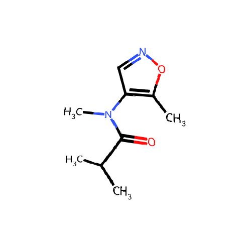 Cc1oncc1N(C)C(=O)C(C)C